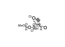 COC(=O)Nc1ccc(-c2nc([C@H](CC(=O)NCc3ccccc3)NC(=O)/C=C/c3cc(Cl)ccc3-n3cnnn3)[nH]c2Cl)cc1